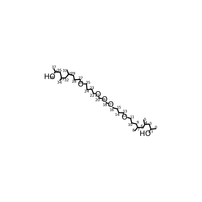 CC(O)CC(C)CC(C)CCCOCCCCOCOCOCCCCOCCCC(C)CC(C)CC(C)O